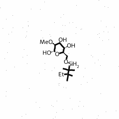 CCC(C)(C)C(C)(C)[SiH2]OC[C@H]1O[C@H](O)[C@@H](OC)[C@@H](O)[C@@H]1O